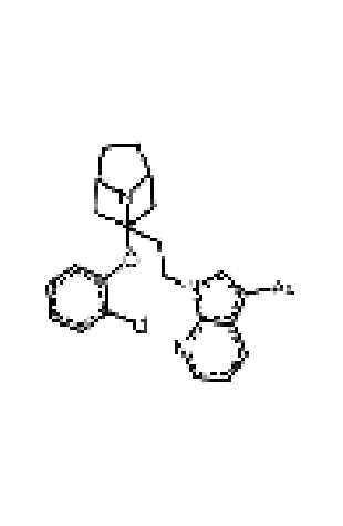 CC(=O)c1cn(CCCN2C3CCC2CC(Oc2ccccc2Cl)C3)c2ncccc12